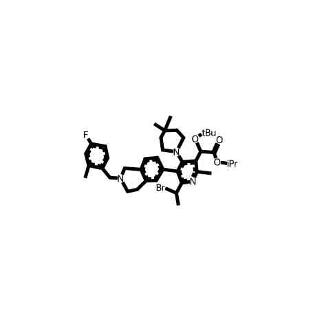 Cc1cc(F)ccc1CN1CCc2cc(-c3c(C(C)Br)nc(C)c(C(OC(C)(C)C)C(=O)OC(C)C)c3N3CCC(C)(C)CC3)ccc2C1